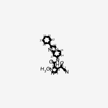 Cn1ncc(C(=O)C#N)c1C(=O)Nc1ccn2cc(-c3ccccc3)nc2c1